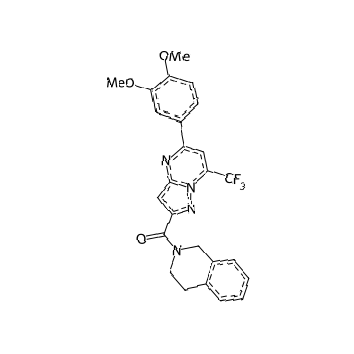 COc1ccc(-c2cc(C(F)(F)F)n3nc(C(=O)N4CCc5ccccc5C4)cc3n2)cc1OC